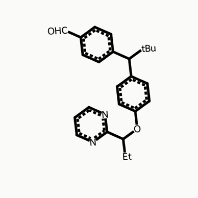 CCC(Oc1ccc(C(c2ccc(C=O)cc2)C(C)(C)C)cc1)c1ncccn1